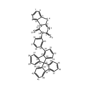 S=c1nc2sc3ccccc3n2c(=S)n1-c1cccc(-c2cccc3c2-c2ccccc2C32c3ccccc3-c3ccccc32)c1